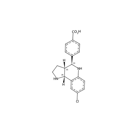 O=C(O)c1ccc([C@H]2Nc3ccc(Cl)cc3[C@@H]3NCC[C@H]23)cc1